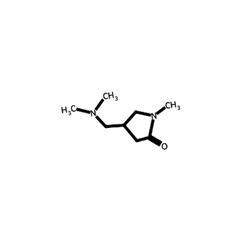 CN(C)CC1CC(=O)N(C)C1